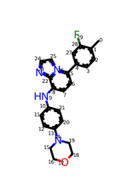 Cc1ccc(-c2ccc(Nc3ccc(N4CCOCC4)cc3)c3nccn23)cc1F